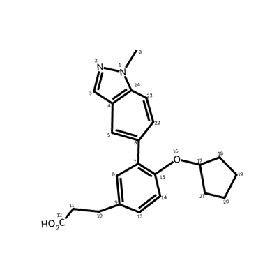 Cn1ncc2cc(-c3cc(CCC(=O)O)ccc3OC3CCCC3)ccc21